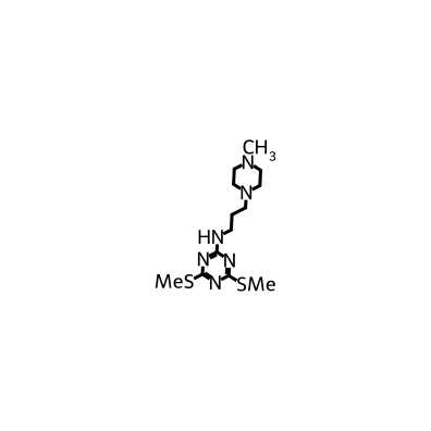 CSc1nc(NCCCN2CCN(C)CC2)nc(SC)n1